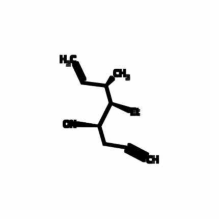 C#CC[C@@H](N=O)[C@H](CC)[C@H](C)C=C